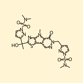 CN(C)S(=O)(=O)n1ccc(Cn2ncc3c4sc(C(C)(O)c5ccn(S(=O)(=O)N(C)C)n5)nc4n(C)c3c2=O)n1